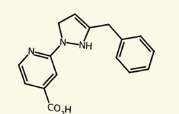 O=C(O)c1ccnc(N2CC=C(Cc3ccccc3)N2)c1